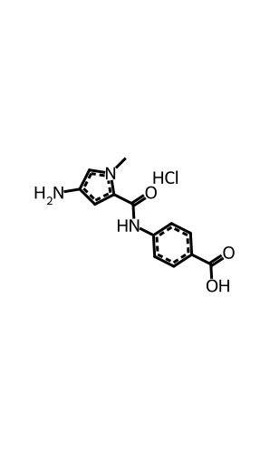 Cl.Cn1cc(N)cc1C(=O)Nc1ccc(C(=O)O)cc1